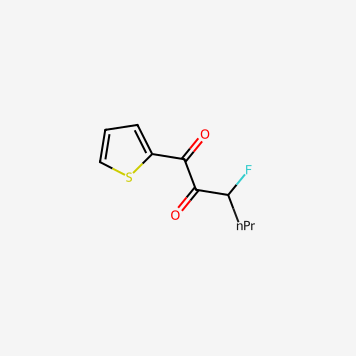 CCCC(F)C(=O)C(=O)c1cccs1